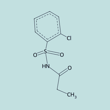 CCC(=O)NS(=O)(=O)c1ccccc1Cl